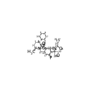 C[C@H]1CC[C@H](c2ccccc2)S(=O)(=O)N1Cc1cc(F)c(C2(NC(=O)C3CC3)COC2)cc1F